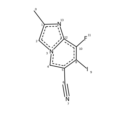 Cc1cn2cc(C#N)c(I)c(F)c2n1